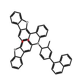 CC1C=C(c2cccc3ccccc23)C=CC1N(c1ccc2sc3ccccc3c2c1)c1ccccc1-c1cccc2c1oc1ccccc12